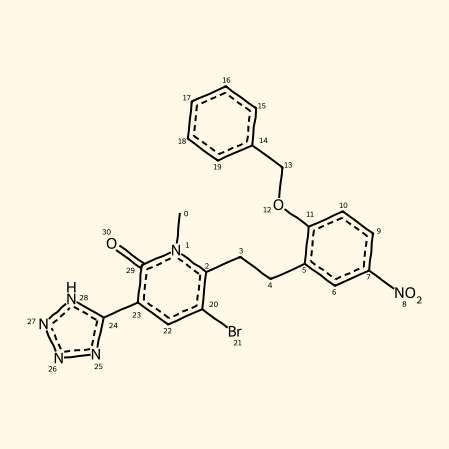 Cn1c(CCc2cc([N+](=O)[O-])ccc2OCc2ccccc2)c(Br)cc(-c2nnn[nH]2)c1=O